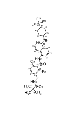 CC(C)(C)C(=O)NCc1ccc(Cl)c(C(=O)Nc2cccc3c(NC4CCC(C(F)(F)F)CC4)nccc23)c1F